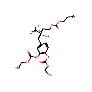 COC(=O)[C@@](N)(CCOC(=O)OCCC(C)C)Cc1ccc(OC(=O)OCC(C)(C)C)c(OC(=O)OCC(C)(C)C)c1